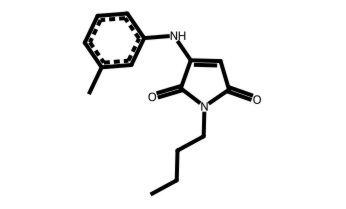 CCCCN1C(=O)C=C(Nc2cccc(C)c2)C1=O